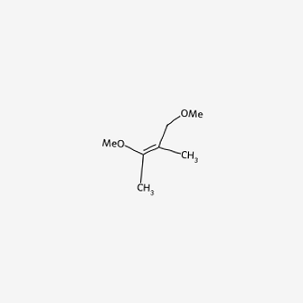 COC/C(C)=C(/C)OC